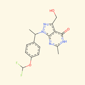 Cc1nc2c(c(CO)nn2C(C)c2ccc(OC(F)F)cc2)c(=O)[nH]1